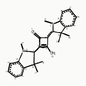 CN1/C(=C2\C(=O)C(C3N(C)c4ccccc4C3(C)C)=C2O)C(C)(C)c2ccccc21